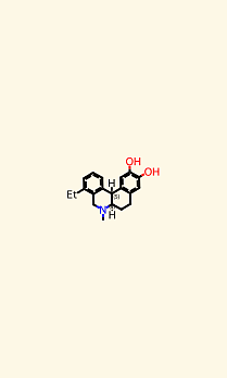 CCc1cccc2c1CN(C)[C@@H]1CCc3cc(O)c(O)cc3[C@@H]21